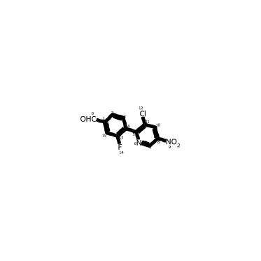 O=Cc1ccc(-c2ncc([N+](=O)[O-])cc2Cl)c(F)c1